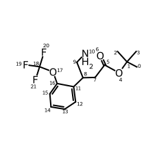 CC(C)(C)OC(=O)CC(CN)c1ccccc1OC(F)(F)F